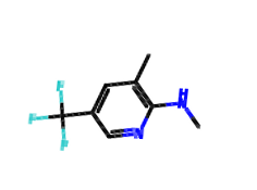 CNc1ncc(C(F)(F)F)cc1C